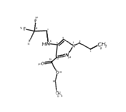 CCCn1cc(NCC(F)(F)F)c(C(=O)OCC)n1